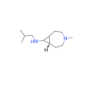 CC(C)CNC1C2CCN(C)CC[C@@H]21